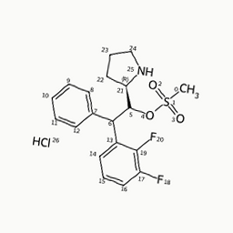 CS(=O)(=O)OC(C(c1ccccc1)c1cccc(F)c1F)[C@H]1CCCN1.Cl